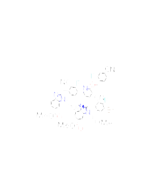 COCCn1c(Cc2ccc(-c3cccc(OCc4ccc(C#N)cc4F)n3)c(F)c2C#N)nc2ccc(C(=O)OC)cc21.COCCn1c(Cc2ccc(Br)c(F)c2C#N)nc2ccc(C(=O)OC)cc21